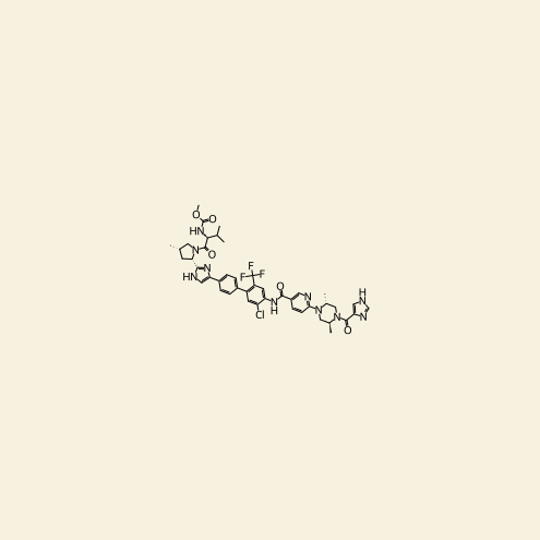 COC(=O)N[C@H](C(=O)N1C[C@@H](C)C[C@H]1c1nc(-c2ccc(-c3cc(Cl)c(NC(=O)c4ccc(N5C[C@H](C)N(C(=O)c6c[nH]cn6)C[C@H]5C)nc4)cc3C(F)(F)F)cc2)c[nH]1)C(C)C